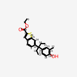 CCOC(=O)c1cc2ccc(C(CC)(CC)c3ccc(O)c(C)c3)cc2s1